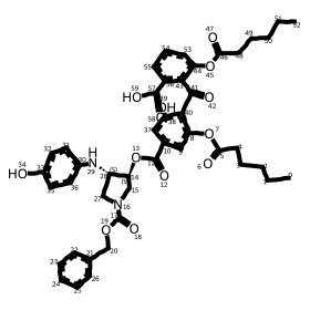 CCCCCC(=O)Oc1cc(C(=O)O[C@H]2CN(C(=O)OCc3ccccc3)C[C@@H]2Nc2ccc(O)cc2)cc(O)c1C(=O)c1c(OC(=O)CCCCC)cccc1C(=O)O